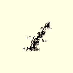 CC(C)c1oc(=O)oc1COC(=O)N1CC[C@@H](N2CCC(=CC3=C(C(=O)O)N4C(=O)[C@@H](NC(=O)C(=NO)c5nsc(N)n5)[C@H]4SC3)C2=O)C1.[Na]